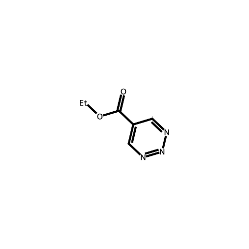 CCOC(=O)c1[c]nnnc1